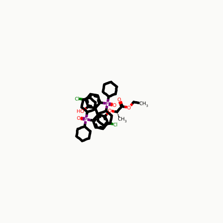 CCOC(=O)[C@H](C)Oc1c(Cl)ccc(P(=O)(C2CCCCC2)C2CCCCC2)c1-c1c(P(=O)(C2CCCCC2)C2CCCCC2)ccc(Cl)c1O